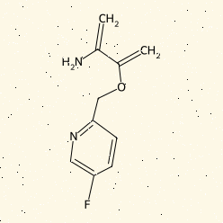 C=C(N)C(=C)OCc1ccc(F)cn1